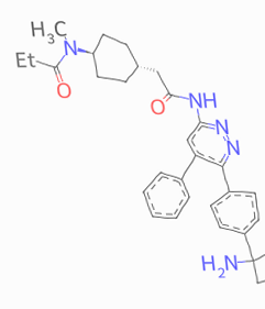 CCC(=O)N(C)[C@H]1CC[C@H](CC(=O)Nc2cc(-c3ccccc3)c(-c3ccc(C4(N)CCC4)cc3)nn2)CC1